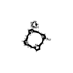 C1=Cc2cc3ccc(cc4nc(cc5ccc(cc1n2)[nH]5)C=C4)[nH]3.[Au].c1nnn[nH]1